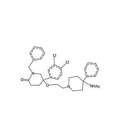 CC(=O)NC1(c2ccccc2)CCN(CCOC2(c3ccc(Cl)c(Cl)c3)CCC(=O)N(Cc3ccccc3)C2)CC1